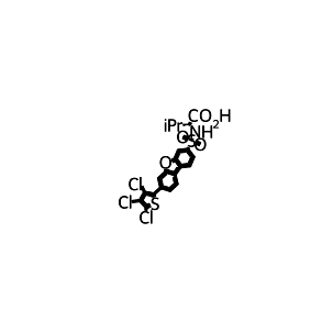 CC(C)[C@H](NS(=O)(=O)c1ccc2c(c1)oc1cc(-c3sc(Cl)c(Cl)c3Cl)ccc12)C(=O)O